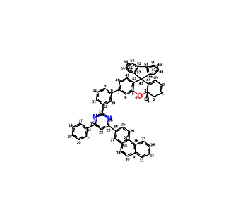 C1=CC[C@@H]2Oc3cc(-c4cccc(-c5nc(-c6ccccc6)cc(-c6ccc7c(ccc8ccccc87)c6)n5)c4)ccc3C3(C2=C1)c1ccccc1-c1ccccc13